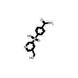 N=S(=O)(c1ccc(C(N)=O)cc1)c1cncc(CO)c1